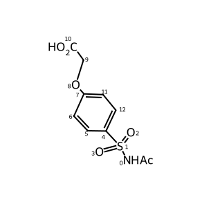 CC(=O)NS(=O)(=O)c1ccc(OCC(=O)O)cc1